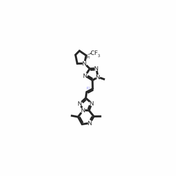 Cc1ncc(C)n2nc(/C=C/c3nc(N4CCC[C@@H]4C(F)(F)F)nn3C)nc12